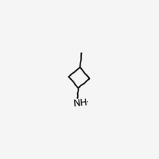 CC1CC([NH])C1